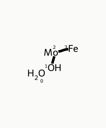 O.[OH][Mo][Fe]